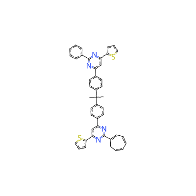 CC(C)(c1ccc(-c2cc(-c3cccs3)nc(C3=CC=CC=CC3)n2)cc1)c1ccc(-c2cc(-c3cccs3)nc(-c3ccccc3)n2)cc1